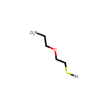 CC(=O)SCCOCC[N+](=O)[O-]